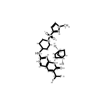 Cn1ccc(S(=O)(=O)N2CCC(Nc3ncc4cc(C(F)F)c(=O)n([C@@H]5C[C@H]6CC[C@@H]5C6)c4n3)CC2)n1